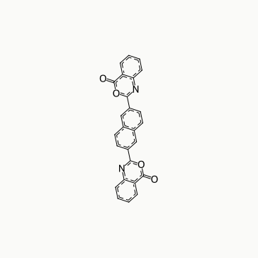 O=c1oc(-c2ccc3cc(-c4nc5ccccc5c(=O)o4)ccc3c2)nc2ccccc12